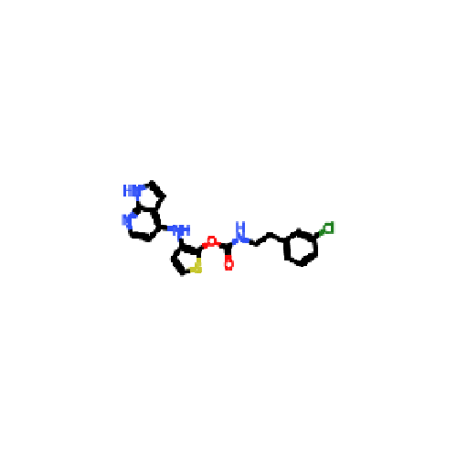 O=C(NCCc1cccc(Cl)c1)Oc1sccc1Nc1ccnc2[nH]ccc12